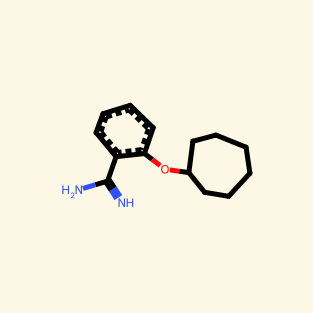 N=C(N)c1ccccc1OC1CCCCCC1